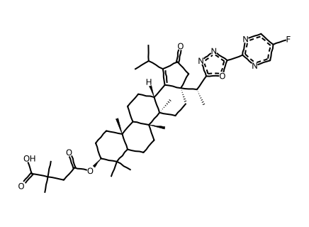 CC(C)C1=C2[C@H]3CCC4[C@@]5(C)CC[C@H](OC(=O)CC(C)(C)C(=O)O)C(C)(C)C5CC[C@@]4(C)[C@]3(C)CC[C@@]2([C@@H](C)c2nnc(-c3ncc(F)cn3)o2)CC1=O